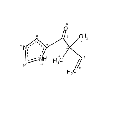 C=CC(C)(C)C(=O)c1cnc[nH]1